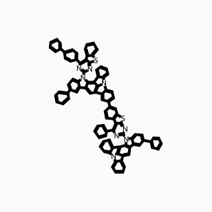 c1ccc(-c2ccc(-c3nc(-n4c5ccc(-c6ccccc6)cc5c5cc6c7cc(-c8ccc9c(c8)sc8nc(-n%10c%11ccc(-c%12ccccc%12)cc%11c%11cc%12c%13ccccc%13n%13c%14ccccc%14c(c%11%10)c%12%13)nc(-c%10ccccc%10)c89)ccc7n7c8ccccc8c(c54)c67)nc4sc5ccccc5c34)cc2)cc1